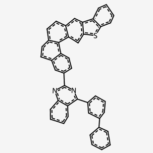 c1ccc(-c2cccc(-c3nc(-c4ccc5c(ccc6ccc7cc8c(cc7c65)sc5ccccc58)c4)nc4ccccc34)c2)cc1